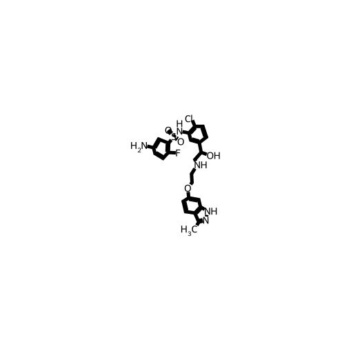 Cc1n[nH]c2cc(OCCNCC(O)c3ccc(Cl)c(NS(=O)(=O)c4cc(N)ccc4F)c3)ccc12